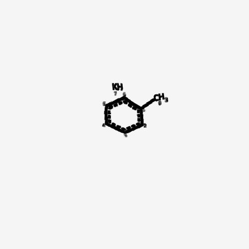 Cc1[c]cccc1.[KH]